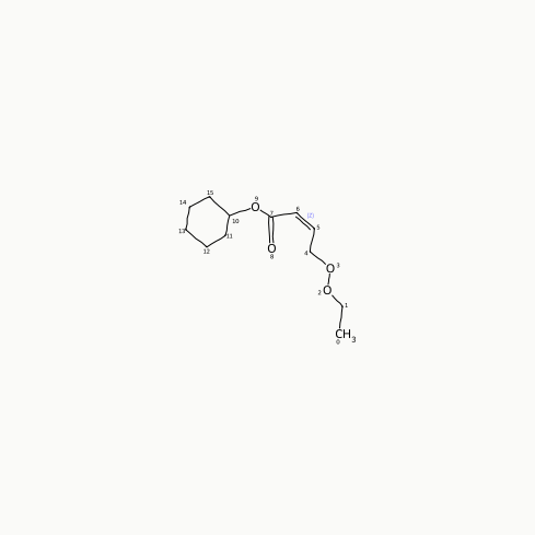 CCOOC/C=C\C(=O)OC1CCCCC1